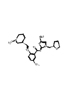 CN1CCC[C@@H](COc2ccc(C(F)(F)F)cc2C(=O)/N=c2\sc(C(C)(C)C)cn2C[C@H]2CCCO2)C1